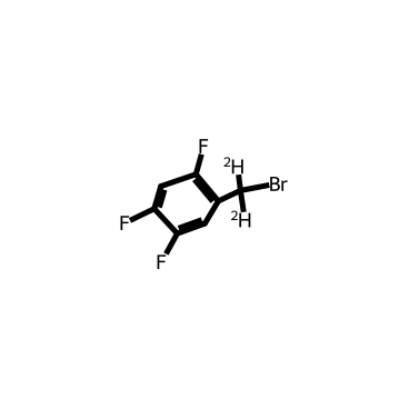 [2H]C([2H])(Br)c1cc(F)c(F)cc1F